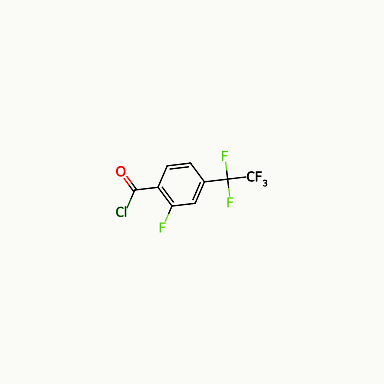 O=C(Cl)c1ccc(C(F)(F)C(F)(F)F)cc1F